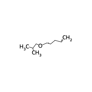 C=CCC[CH]OCC(C)C